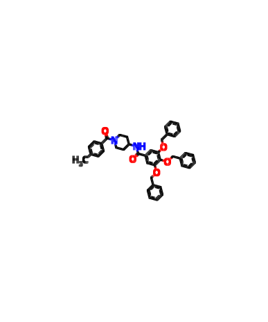 Cc1ccc(C(=O)N2CCC(NC(=O)c3cc(OCc4ccccc4)c(OCc4ccccc4)c(OCc4ccccc4)c3)CC2)cc1